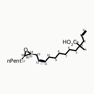 C=CCC(C)(CCCCCC/C=C\C[C@@H]1O[C@@H]1CCCCC)C(=O)O